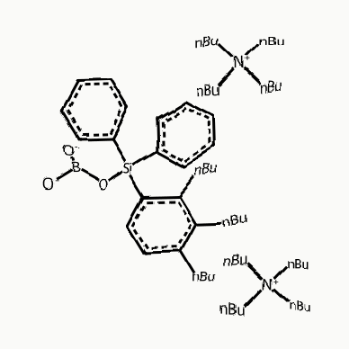 CCCC[N+](CCCC)(CCCC)CCCC.CCCC[N+](CCCC)(CCCC)CCCC.CCCCc1ccc([Si](OB([O-])[O-])(c2ccccc2)c2ccccc2)c(CCCC)c1CCCC